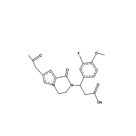 COc1ccc(C(CC(=O)O)N2CCn3cc(CC(C)=O)cc3C2=O)cc1F